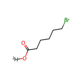 [2H]OC(=O)CCCCCBr